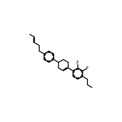 C/C=C/CCc1ccc(C2CC=C(c3ccc(CCC)c(F)c3F)CC2)cc1